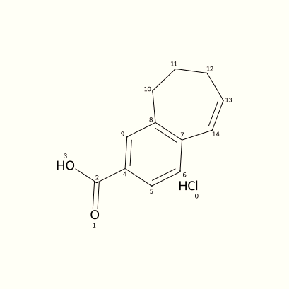 Cl.O=C(O)c1ccc2c(c1)CCCC=C2